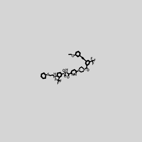 CCOc1cccc(C#Cc2cc(C(=O)N3CCN(c4ccc(C(=O)NS(=O)(=O)c5ccc(NCCSc6ccccc6)c(C(F)(F)F)c5)nn4)CC3)cc(C(F)(F)F)c2)c1